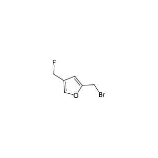 FCc1coc(CBr)c1